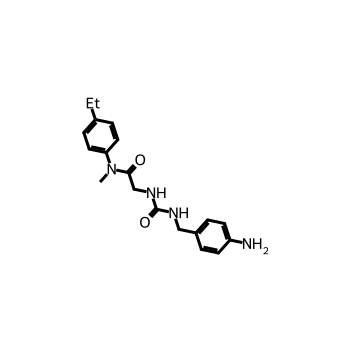 CCc1ccc(N(C)C(=O)CNC(=O)NCc2ccc(N)cc2)cc1